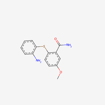 COc1ccc(Sc2ccccc2N)c(C(N)=O)c1